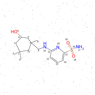 CC1(C)CC(O)CC(C)(CNc2cccc(S(N)(=O)=O)n2)C1